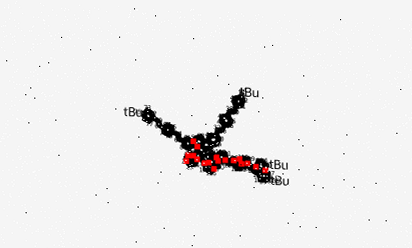 CC(C)(C)c1ccc(C=Cc2ccc(C=Cc3ccc(C=C(c4ccccc4)C(C(=Cc4ccc(C=Cc5ccc(C=Cc6ccc(C(C)(C)C)cc6)cc5)cc4)c4ccccc4)(C(=Cc4ccc(C=Cc5ccc(C=Cc6ccc(C(C)(C)C)cc6)cc5)cc4)c4ccccc4)C(=Cc4ccc(C=Cc5ccc(C=Cc6ccc(C(C)(C)C)cc6)cc5)cc4)c4ccccc4)cc3)cc2)cc1